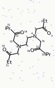 CCC(=O)CN(CCN(CC(=O)CC)CC(=O)C(C)C)CC(=O)C(C)C